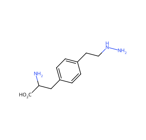 NNCCc1ccc(CC(N)C(=O)O)cc1